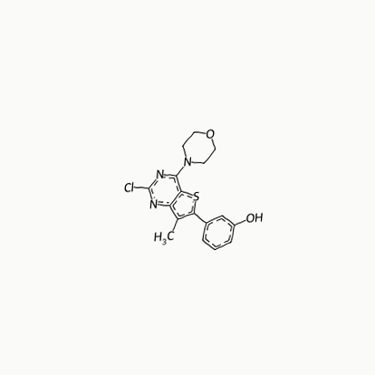 Cc1c(-c2cccc(O)c2)sc2c(N3CCOCC3)nc(Cl)nc12